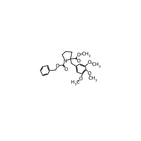 COC(=O)C1(Cc2cc(OC)c(OC)c(OC)c2)CCCN1C(=O)OCc1ccccc1